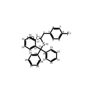 O=C(O)C(Cc1ccc(F)cc1)SC(c1ccccc1)(c1ccccc1)c1ccccc1